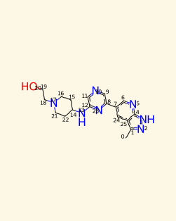 Cc1n[nH]c2ncc(-c3cncc(NC4CCN(CCO)CC4)n3)cc12